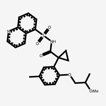 COC(C)COc1ccc(C)cc1C1(C(=O)NS(=O)(=O)c2cccc3ncccc23)CC1